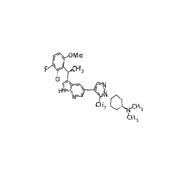 COc1ccc(F)c(Cl)c1[C@@H](C)c1c[nH]c2ncc(-c3cnn([C@H]4CC[C@H](N(C)C)CC4)c3C)cc12